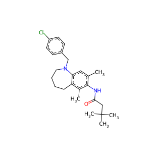 Cc1cc2c(c(C)c1NC(=O)CC(C)(C)C)CCCCN2Cc1ccc(Cl)cc1